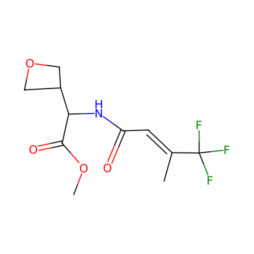 COC(=O)C(NC(=O)/C=C(\C)C(F)(F)F)C1COC1